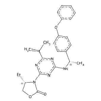 C=C(C)c1nc(N[C@@H](C)c2ccc(Oc3ccccc3)cc2)nc(N2C(=O)OC[C@@H]2CC)n1